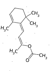 CC(=O)O/C(C)=C\C=C1/C(C)=CCCC1(C)C